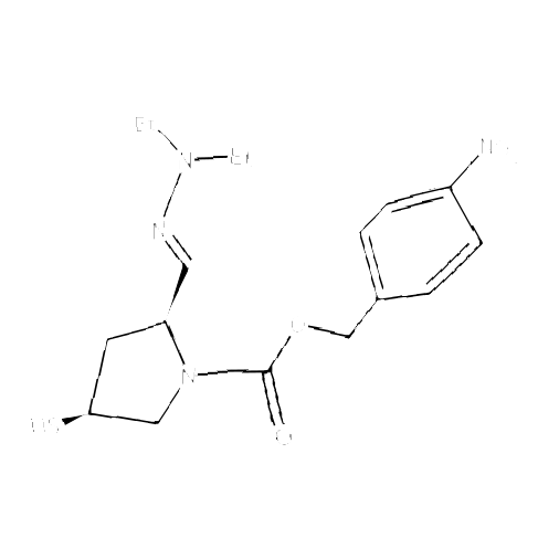 CCN(CC)/N=C/[C@@H]1C[C@H](S)CN1C(=O)OCc1ccc([N+](=O)[O-])cc1